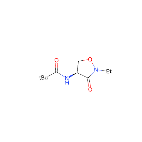 CCN1OC[C@H](NC(=O)C(C)(C)C)C1=O